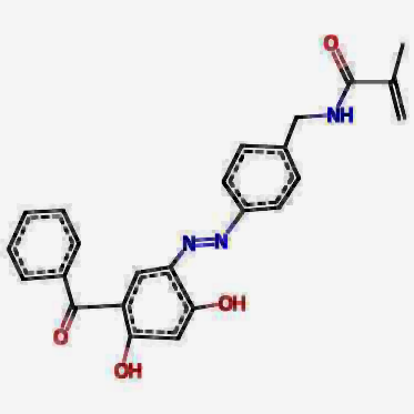 C=C(C)C(=O)NCc1ccc(/N=N/c2cc(C(=O)c3ccccc3)c(O)cc2O)cc1